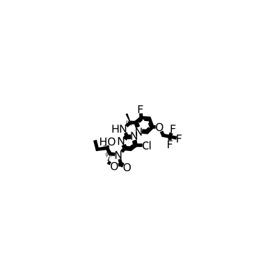 CC[C@@H](O)[C@H]1COC(=O)N1c1cc(Cl)nc(N[C@@H](C)c2ncc(OCC(F)(F)F)cc2F)n1